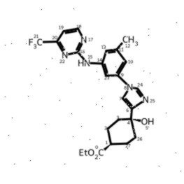 CCOC(=O)[C@H]1CC[C@](O)(c2cn(-c3cc(C)cc(Nc4nccc(C(F)(F)F)n4)c3)cn2)CC1